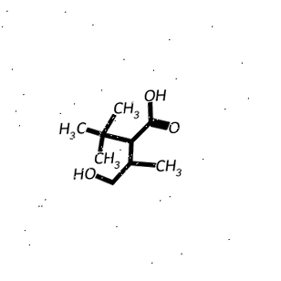 CC(CO)C(C(=O)O)C(C)(C)C